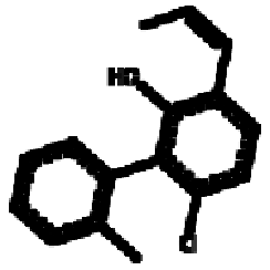 C/C=C\c1ccc(Cl)c(-c2ccccc2C)c1O